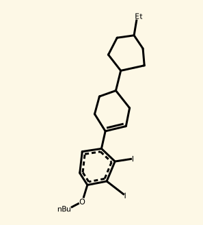 CCCCOc1ccc(C2=CCC(C3CCC(CC)CC3)CC2)c(I)c1I